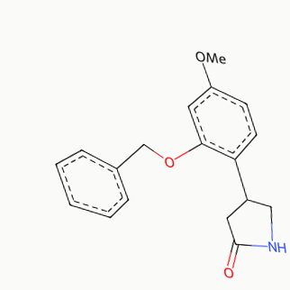 COc1ccc(C2CNC(=O)C2)c(OCc2ccccc2)c1